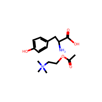 CC(=O)OCC[N+](C)(C)C.NC(Cc1ccc(O)cc1)C(=O)O